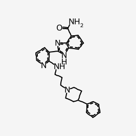 NC(=O)c1cccc2[nH]c(-c3cccnc3NCCCN3CCC(c4ccccc4)CC3)nc12